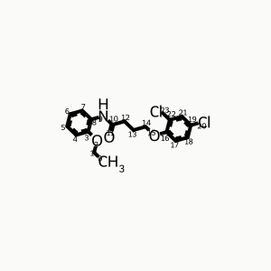 CCOc1ccccc1NC(=O)CCCOc1ccc(Cl)cc1Cl